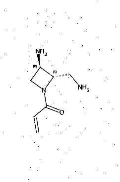 C=CC(=O)N1C[C@@H](N)[C@@H]1CN